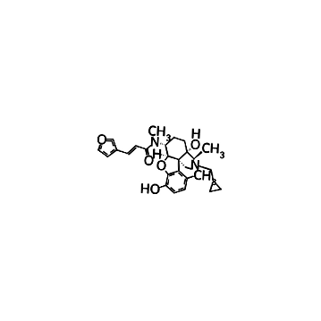 Cc1ccc(O)c2c1[C@]13CCN(CC4CC4)[C@H](C)[C@]1(O)CC[C@@H](N(C)C(=O)/C=C/c1ccoc1)[C@@H]3O2